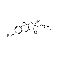 C=CCC1(C(C)C)CC2Oc3ccc(C(F)(F)F)cc3CN2C1=O